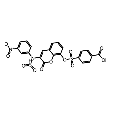 O=C(O)c1ccc(S(=O)(=O)Oc2cccc3cc(N(c4cccc([N+](=O)[O-])c4)[SH](=O)=O)c(=O)oc23)cc1